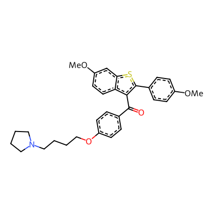 COc1ccc(-c2sc3cc(OC)ccc3c2C(=O)c2ccc(OCCCCN3CCCC3)cc2)cc1